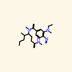 C=Nc1ccc(C(=C)N(C)C(CCC(=C)NC)C(C)CCC)cc1N(C)CC